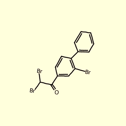 O=C(c1ccc(-c2ccccc2)c(Br)c1)C(Br)Br